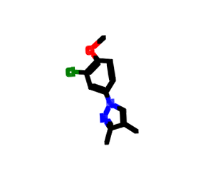 COc1ccc(-n2cc(C)c(C)n2)cc1Cl